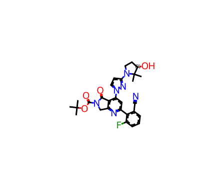 CC(C)(C)OC(=O)N1Cc2nc(-c3c(F)cccc3C#N)cc(-n3ccc(N4CC[C@@H](O)C4(C)C)n3)c2C1=O